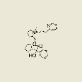 C[N+]1(CCCc2ccccn2)CCC[C@@H]1COC(=O)C(O)(c1ccccc1)C1CCCC1